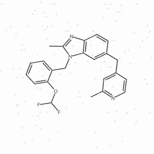 Cc1cc(Cc2ccc3nc(C)n(Cc4ccccc4OC(F)F)c3c2)ccn1